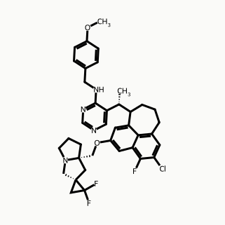 COc1ccc(CNc2ncncc2[C@H](C)C2CCCc3cc(Cl)c(F)c4cc(OC[C@@]56CCCN5C[C@]5(CC5(F)F)C6)cc2c34)cc1